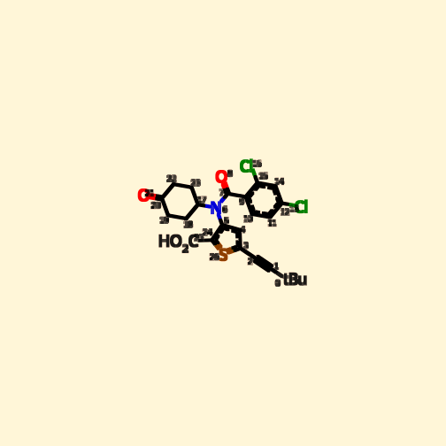 CC(C)(C)C#Cc1cc(N(C(=O)c2ccc(Cl)cc2Cl)C2CCC(=O)CC2)c(C(=O)O)s1